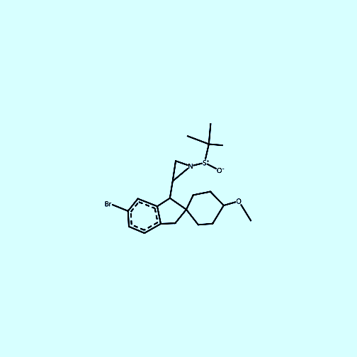 COC1CCC2(CC1)Cc1ccc(Br)cc1C2C1CN1[S+]([O-])C(C)(C)C